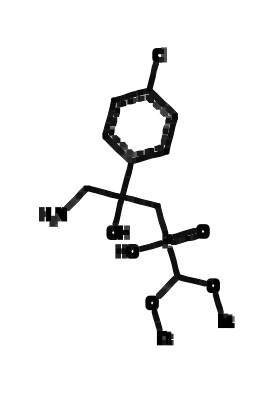 CCOC(OCC)P(=O)(O)CC(O)(CN)c1ccc(Cl)cc1